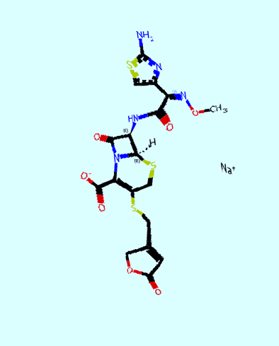 CO/N=C(\C(=O)N[C@@H]1C(=O)N2C(C(=O)[O-])=C(SCC3=CC(=O)OC3)CS[C@H]12)c1csc(N)n1.[Na+]